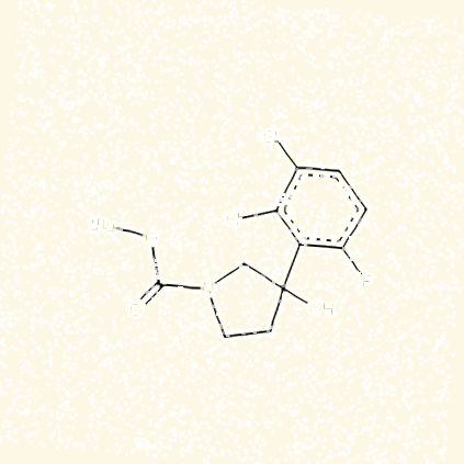 CC(C)(C)OC(=O)N1CCC(O)(c2c(F)ccc(Cl)c2Cl)C1